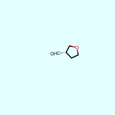 O=C[C@H]1CCOC1